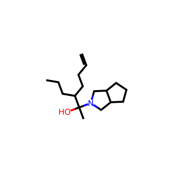 C=CCCC(CCC)C(C)(O)N1CC2CCCC2C1